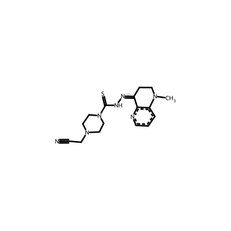 CN1CC/C(=N/NC(=S)N2CCN(CC#N)CC2)c2ncccc21